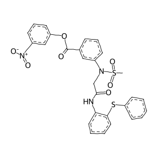 CS(=O)(=O)N(CC(=O)Nc1ccccc1Sc1ccccc1)c1cccc(C(=O)Oc2cccc([N+](=O)[O-])c2)c1